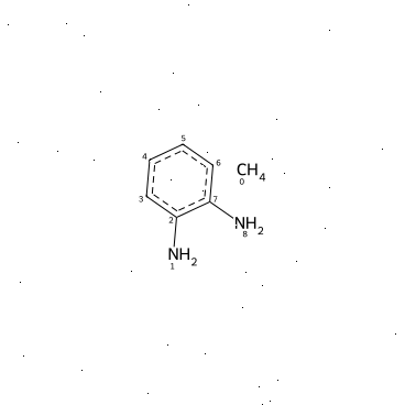 C.Nc1ccccc1N